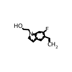 C=Cc1cc2ccn(CCO)c2cc1F